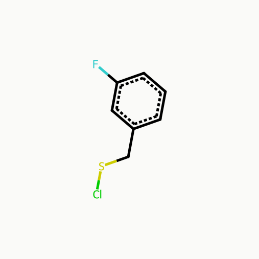 Fc1cccc(CSCl)c1